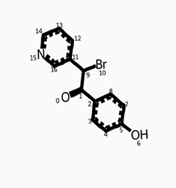 O=C(c1ccc(O)cc1)C(Br)c1cccnc1